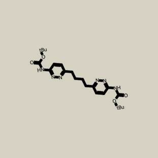 CC(C)(C)OC(=O)Nc1ccc(CCCCc2ccc(NC(=O)OC(C)(C)C)nn2)nn1